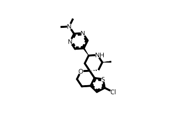 C[C@H]1C[C@@]2(C[C@@H](c3cnc(N(C)C)nc3)N1)OCCc1cc(Cl)sc12